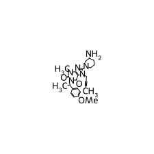 CC#CCn1c(N2CCC[C@@H](N)C2)nc2c1c(=O)n(C(C)c1ccc(OC)cc1)c(=O)n2C